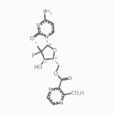 Nc1ccn([C@@H]2O[C@H](COC(=O)c3nccnc3C(=O)O)[C@@H](O)C2(F)F)c(=O)n1